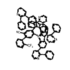 N#Cc1cc(-n2c3cc(-c4cccnc4-c4ccccc4)ccc3c3ccc(-c4cccnc4-c4ccccc4)cc32)c(-n2c3cc(-c4cccnc4-c4ccccc4)ccc3c3ccc(-c4cccnc4-c4ccccc4)cc32)cc1-c1ccccc1C(F)(F)F